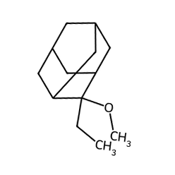 CCC1(OC)C2CC3CC(C2)CC1C3